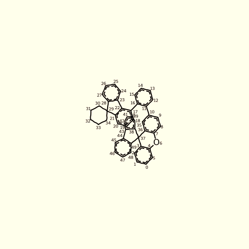 c1ccc2c(c1)Oc1ccc(-c3ccccc3-c3cccc4c3-c3ccccc3C43CCCCC3)cc1C21c2ccccc2-c2ccccc21